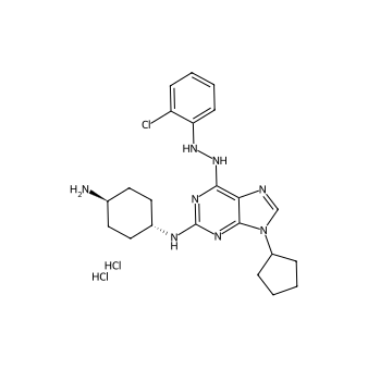 Cl.Cl.N[C@H]1CC[C@H](Nc2nc(NNc3ccccc3Cl)c3ncn(C4CCCC4)c3n2)CC1